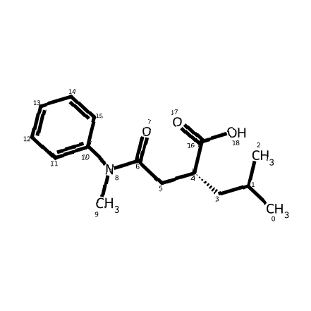 CC(C)C[C@H](CC(=O)N(C)c1ccccc1)C(=O)O